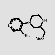 COCC1CN(c2ccncc2N)CCN1